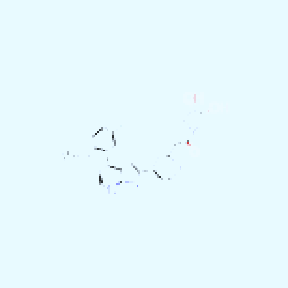 COc1ccc(F)cc1-c1ccnc2[nH]c(C3=CCNC(CC(=O)N4C[C@H](O)[C@@H](O)C4)C3)cc12